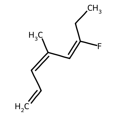 C=C/C=C(C)\C=C(\F)CC